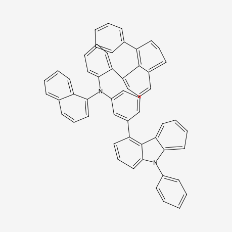 c1ccc(-c2cccc3cccc(-c4ccccc4N(c4cccc(-c5cccc6c5c5ccccc5n6-c5ccccc5)c4)c4cccc5ccccc45)c23)cc1